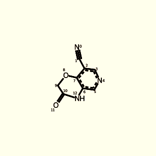 N#Cc1cncc2c1OCC(=O)N2